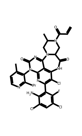 C=CC(=O)N1CC2C(=O)Nc3c(Cl)c(-c4c(N)c(Cl)cc(Cl)c4F)nc4c3c(nc(=O)n4-c3c(C)ccnc3C(C)C)N2CC1C